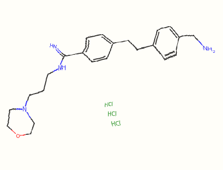 Cl.Cl.Cl.N=C(NCCCN1CCOCC1)c1ccc(CCc2ccc(CN)cc2)cc1